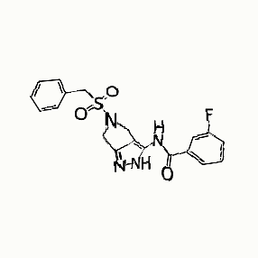 O=C(Nc1[nH]nc2c1CN(S(=O)(=O)Cc1ccccc1)C2)c1cccc(F)c1